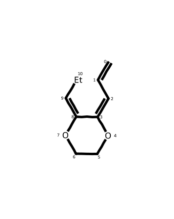 C=C/C=C1/OCCO/C1=C/CC